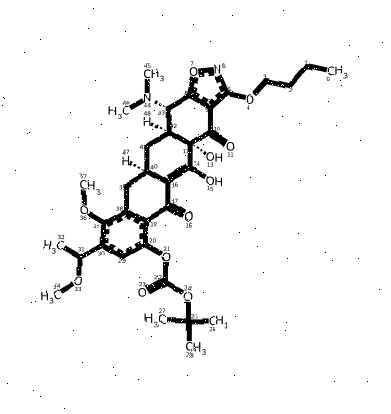 CCCCOc1noc2c1C(=O)[C@@]1(O)C(O)=C3C(=O)c4c(OC(=O)OC(C)(C)C)cc(C(C)OC)c(OC)c4C[C@H]3C[C@H]1[C@@H]2N(C)C